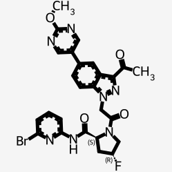 COc1ncc(-c2ccc3c(c2)c(C(C)=O)nn3CC(=O)N2C[C@H](F)C[C@H]2C(=O)Nc2cccc(Br)n2)cn1